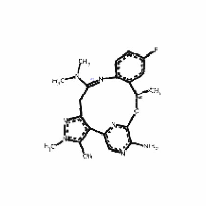 C[C@H]1Oc2nc(cnc2N)-c2c(nn(C)c2C#N)C/C(N(C)C)=N\c2ccc(F)cc21